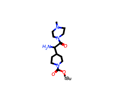 CN1CCN(C(=O)C(N)C2CCN(C(=O)OC(C)(C)C)CC2)CC1